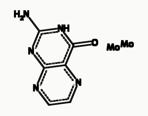 Nc1nc2nccnc2c(=O)[nH]1.[Mo].[Mo]